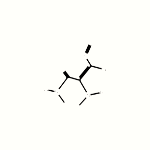 C=N/C(CCC)=C(\C(=O)N(C)C(C)(C)C)N(C)N